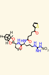 CC(C)C[C@H](NC(=O)[C@H](CCCNC(=N)N[N+](=O)[O-])NC(=O)CCCC(=O)c1cccs1)B1O[C@@H]2C[C@@H]3C[C@@H](C3(C)C)[C@]2(C)O1